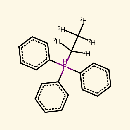 [2H]C([2H])([2H])C([2H])([2H])[PH](c1ccccc1)(c1ccccc1)c1ccccc1